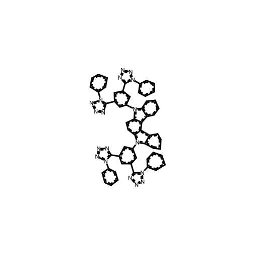 c1ccc(-n2nnnc2-c2cc(-c3nnnn3-c3ccccc3)cc(-n3c4ccccc4c4c5c6ccccc6n(-c6cc(-c7nnnn7-c7ccccc7)cc(-c7nnnn7-c7ccccc7)c6)c5ccc43)c2)cc1